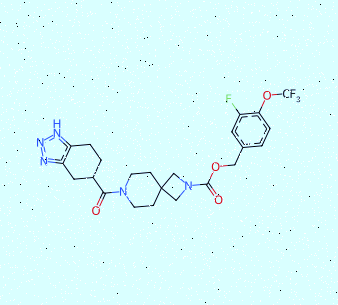 O=C(OCc1ccc(OC(F)(F)F)c(F)c1)N1CC2(CCN(C(=O)C3CCc4[nH]nnc4C3)CC2)C1